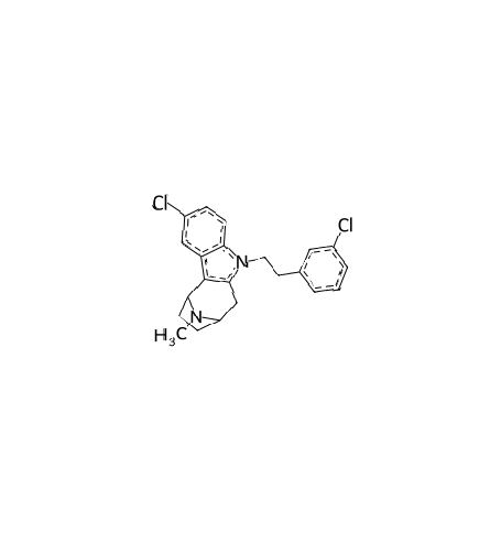 CN1C2CCC1c1c(n(CCc3cccc(Cl)c3)c3ccc(Cl)cc13)C2